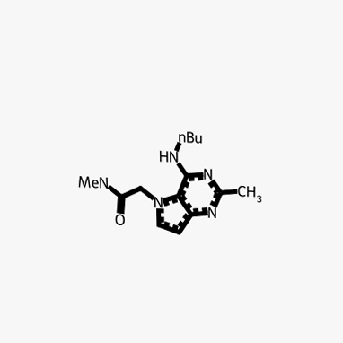 CCCCNc1nc(C)nc2ccn(CC(=O)NC)c12